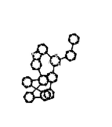 c1ccc(-c2ccc(-c3nc(-c4cccc(-c5ccccc5)c4)nc(-c4cccc5oc6ccc(-c7cccc8c7-c7ccccc7C87c8ccccc8-c8ccccc87)cc6c45)n3)cc2)cc1